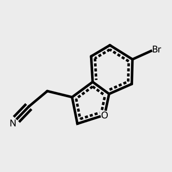 N#CCc1coc2cc(Br)ccc12